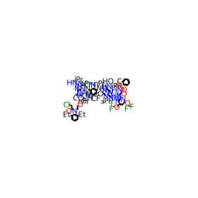 CC(C)Nc1nc(Cl)nc(NCC(=O)O)n1.CCCN(CCC)c1c([N+](=O)[O-])cc(C(F)(F)F)c(N)c1[N+](=O)[O-].CCCOCCN(C(=O)CCl)c1c(CC)cccc1CC.COc1nc(NC(C)C)nc(NC(C)C)n1.O=C(Nc1nc(OC(F)F)cc(OC(F)F)n1)NS(=O)(=O)c1ccccc1C(=O)O